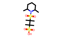 CC1CCCC(C)N1S(=O)(=O)C(C)(C)C(C)(C)S(=O)(=O)O